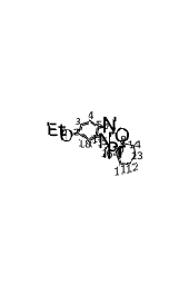 CCOc1ccc2nc(OC3CCCCC3)n(C(C)C)c2c1